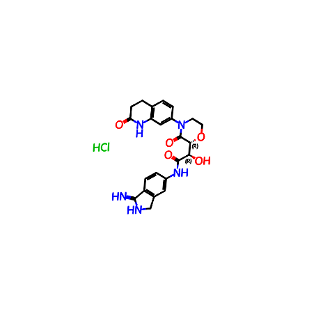 Cl.N=C1NCc2cc(NC(=O)[C@H](O)[C@H]3OCCN(c4ccc5c(c4)NC(=O)CC5)C3=O)ccc21